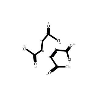 O=C(Cl)/C=C\C(=O)Cl.O=C(Cl)CCC(=O)Cl